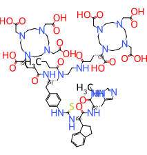 CCCC(=O)N(CCNC(=O)CC[C@@H](C(=O)O)N1CCN(CC(=O)O)CCN(CC(=O)O)CCN(CC(=O)O)CC1)C[C@H](Cc1ccc(NC(=S)N[C@H](C(=O)N[C@@H](Cc2cnc[nH]2)C(=O)NC)C2CCc3ccccc32)cc1)NC(=O)CC[C@@H](C(=O)O)N1CCN(CC(=O)O)CCN(CC(=O)O)CCN(CC(=O)O)CC1